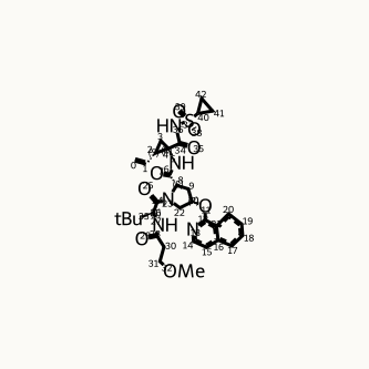 C=C[C@@H]1C[C@]1(NC(=O)[C@@H]1C[C@@H](Oc2nccc3ccccc23)CN1C(=O)[C@@H](NC(=O)CCOC)C(C)(C)C)C(=O)NS(=O)(=O)C1CC1